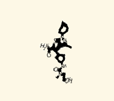 Cc1nn(C2CCCCC2)c2sc(C(N)=O)c(C3CCC(NC(=O)N(C)CCO)CC3)c12